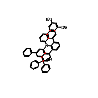 CC(C)(C)c1cc(-c2cccc(N(c3cc(-c4ccccc4)cc(C(O)(c4ccccc4)c4ccccc4)c3)c3c(-c4ccccc4)cccc3-c3ccccc3)c2)cc(C(C)(C)C)c1